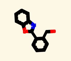 O=Cc1ccccc1-c1nc2ccccc2o1